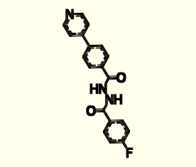 O=C(NNC(=O)c1ccc(-c2ccncc2)cc1)c1ccc(F)cc1